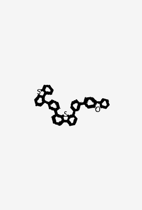 c1cc(-c2ccc3c(c2)oc2ccccc23)cc(-c2cccc3c2sc2c(-c4cccc(-c5cccc6sc7ccccc7c56)c4)cccc23)c1